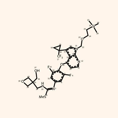 CSC(=Nc1cc(F)c(Oc2ccnc3c2c(C2(C(F)(F)F)CC2)cn3COCC[Si](C)(C)C)c(F)c1)NCC1(CO)COC1